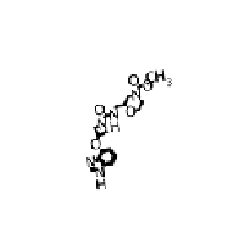 COC(=O)N1CCOC(CNC(=O)N2CC(Oc3cccc4[nH]cnc34)C2)C1